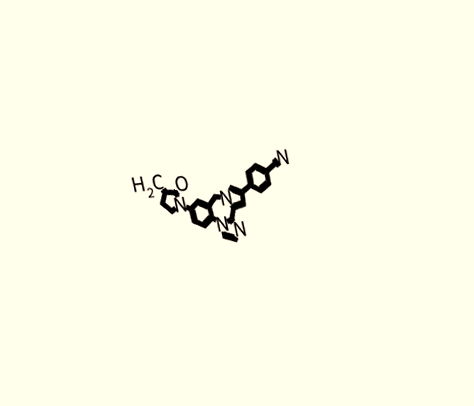 C=C1CCN(c2ccc3c(c2)Cn2cc(-c4ccc(C#N)cc4)cc2-c2nccn2-3)C1=O